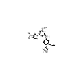 CNc1nc(Nc2ccc(-c3cnco3)c(OC)c2)nc(N2CC[C@H](N(C)C)C2)n1